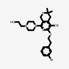 CC1(C)Cc2c(C#N)c(SCCc3cccc(Br)c3)nc(N3CCN(CCO)CC3)c2CO1